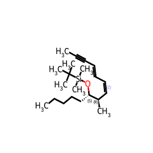 CC#CC=C/C=C\[C@@H](C)[C@H](CCCCC)O[Si](C)(C)C(C)(C)C